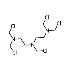 ClCN(CCl)CCN(CCl)CCN(CCl)CCl